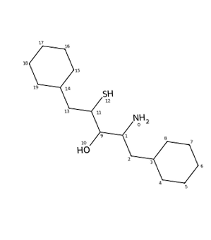 NC(CC1CCCCC1)C(O)C(S)CC1CCCCC1